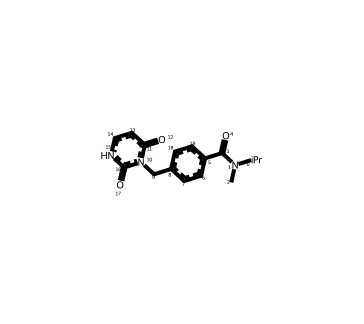 CC(C)N(C)C(=O)c1ccc(Cn2c(=O)cc[nH]c2=O)cc1